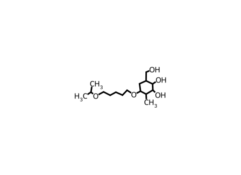 CC(C)OCCCCCOC1CC(CO)C(O)C(O)C1C